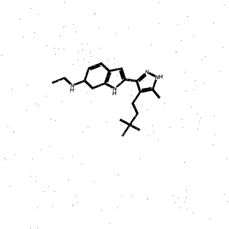 CCNC1C=Cc2cc(-c3n[nH]c(C)c3CCC(C)(C)C)[nH]c2C1